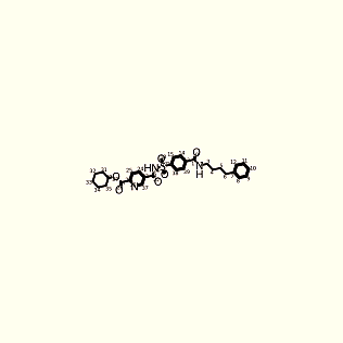 O=C(NCCCCc1ccccc1)c1ccc(S(=O)(=O)NC(=O)c2ccc(C(=O)OC3CCCCC3)nc2)cc1